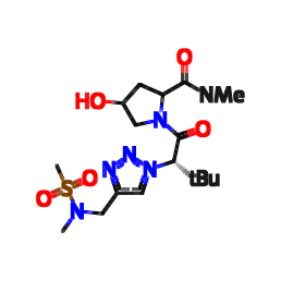 CNC(=O)C1CC(O)CN1C(=O)[C@@H](n1cc(CN(C)S(C)(=O)=O)nn1)C(C)(C)C